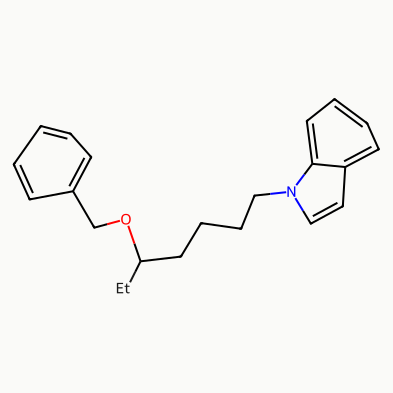 CCC(CCCCn1ccc2ccccc21)OCc1ccccc1